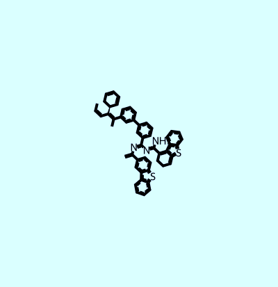 C=C(/N=C(\N=C(/N)C1=c2c(sc3ccccc23)=CCC1)c1cccc(-c2cccc(/C(C)=C(/C=C\C)[C@@H]3C=CC=CC3)c2)c1)c1ccc2sc3ccccc3c2c1